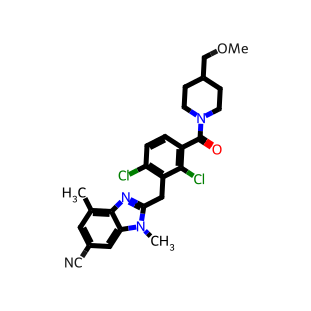 COCC1CCN(C(=O)c2ccc(Cl)c(Cc3nc4c(C)cc(C#N)cc4n3C)c2Cl)CC1